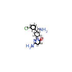 NC[C@]1(c2cccc(Cl)c2)CC[C@H](n2nc(N)ccc2=O)CC1